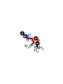 CCCCC(=O)Oc1c(OCCNC(=O)c2ccc(-c3ccccc3)nc2)cccc1Oc1ccc(C(C)C)cc1